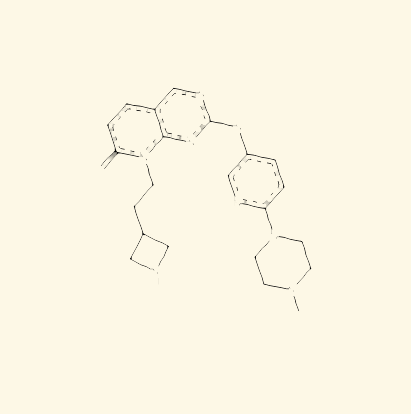 CN1CCN(c2ccc(Nc3ncc4ccc(=O)n(CCC5CNC5)c4n3)cn2)CC1